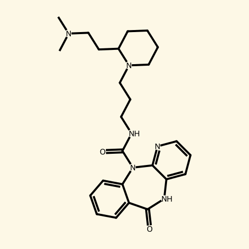 CN(C)CCC1CCCCN1CCCNC(=O)N1c2ccccc2C(=O)Nc2cccnc21